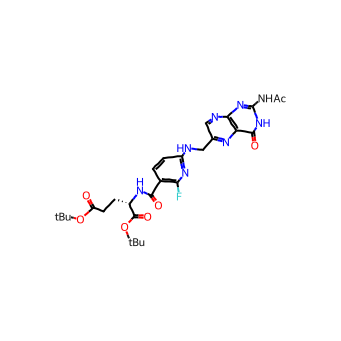 CC(=O)Nc1nc2ncc(CNc3ccc(C(=O)N[C@@H](CCC(=O)OC(C)(C)C)C(=O)OC(C)(C)C)c(F)n3)nc2c(=O)[nH]1